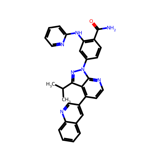 CC(C)c1nn(-c2ccc(C(N)=O)c(Nc3ccccn3)c2)c2nccc(-c3cnc4ccccc4c3)c12